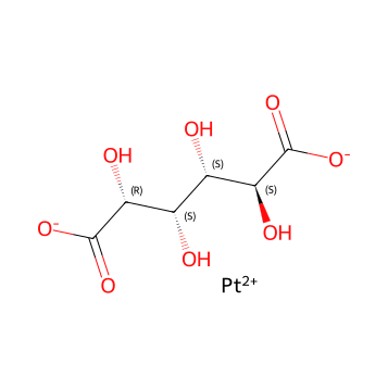 O=C([O-])[C@@H](O)[C@@H](O)[C@H](O)[C@@H](O)C(=O)[O-].[Pt+2]